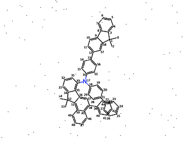 CC1(C)c2ccccc2-c2ccc(-c3ccc(N(c4ccc(-c5ccccc5)cc4)c4cccc5c4-c4cc(-c6ccccc6)c6ccccc6c4C5(C)C)cc3)cc21